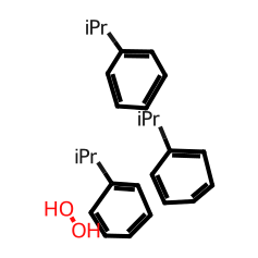 CC(C)c1ccccc1.CC(C)c1ccccc1.CC(C)c1ccccc1.OO